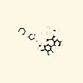 CN1C[C@H](OC2CCCCO2)C[C@H]1COc1ncc2c3c(c(-c4ncc(F)c5sc(NC(=O)O)c(C#N)c45)c(F)c2n1)COC3